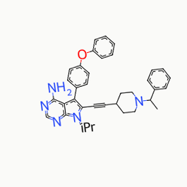 CC(c1ccccc1)N1CCC(C#Cc2c(-c3ccc(Oc4ccccc4)cc3)c3c(N)ncnc3n2C(C)C)CC1